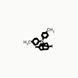 Cc1ccc(N(c2ccc(C)cc2)C23CC4CC(I)(CC(I)(C4)C2)C3)cc1